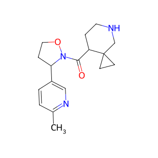 Cc1ccc(C2CCON2C(=O)C2CCNCC23CC3)cn1